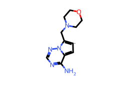 Nc1ncnn2c(CN3CCOCC3)[c]cc12